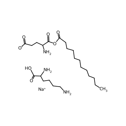 CCCCCCCCCCCC(=O)OC(=O)C(N)CCC(=O)[O-].NCCCCC(N)C(=O)O.[Na+]